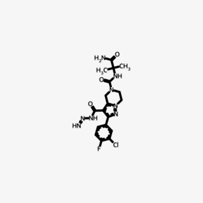 CC(C)(NC(=O)N1CCn2nc(-c3ccc(F)c(Cl)c3)c(C(=O)NN=N)c2C1)C(N)=O